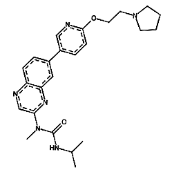 CC(C)NC(=O)N(C)c1cnc2ccc(-c3ccc(OCCN4CCCC4)nc3)cc2n1